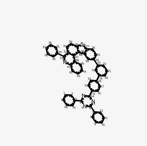 c1ccc(-c2nc(-c3ccccc3)nc(-c3ccc(-c4cccc(-c5ccc6sc7ccc8c(-c9ccccc9)nc9ccccc9c8c7c6c5)c4)cc3)n2)cc1